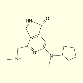 CNCc1nc(N(C)C2CCCC2)cc2c1CNC2=O